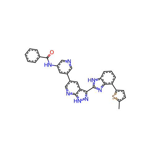 Cc1ccc(-c2cccc3[nH]c(-c4n[nH]c5ncc(-c6cncc(NC(=O)c7ccccc7)c6)cc45)nc23)s1